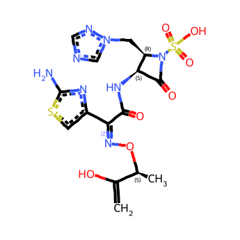 C=C(O)[C@H](C)O/N=C(\C(=O)N[C@@H]1C(=O)N(S(=O)(=O)O)[C@@H]1Cn1cncn1)c1csc(N)n1